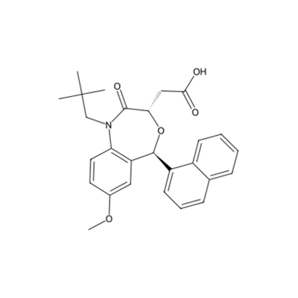 COc1ccc2c(c1)[C@H](c1cccc3ccccc13)O[C@@H](CC(=O)O)C(=O)N2CC(C)(C)C